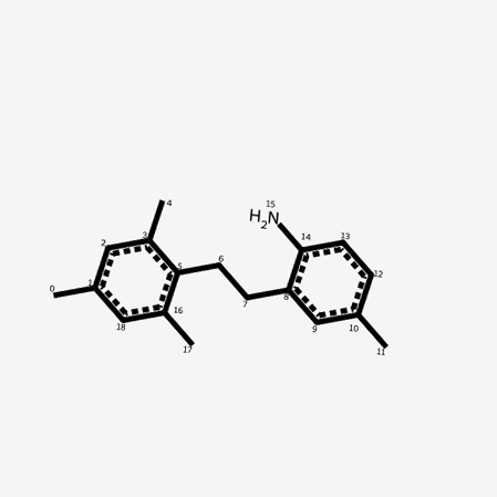 Cc1cc(C)c(CCc2cc(C)ccc2N)c(C)c1